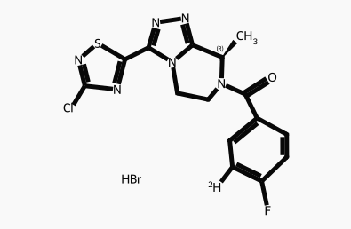 Br.[2H]c1cc(C(=O)N2CCn3c(-c4nc(Cl)ns4)nnc3[C@H]2C)ccc1F